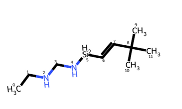 CCNCN[SiH2]C=CC(C)(C)C